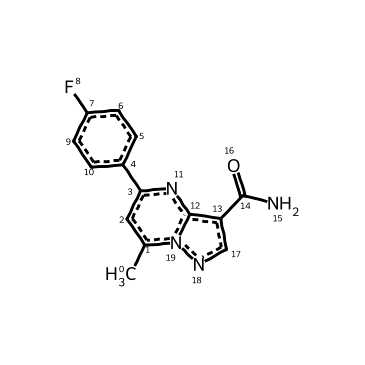 Cc1cc(-c2ccc(F)cc2)nc2c(C(N)=O)cnn12